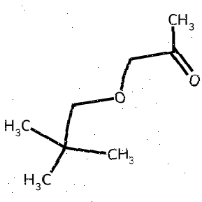 CC(=O)COCC(C)(C)C